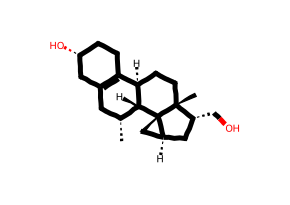 C[C@@H]1CC2=C(CC[C@@H](O)C2)[C@H]2CC[C@]3(C)[C@H](CO)C[C@H]4C[C@]43[C@H]12